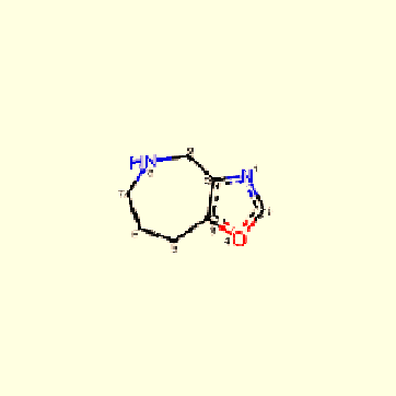 c1nc2c(o1)CCCNC2